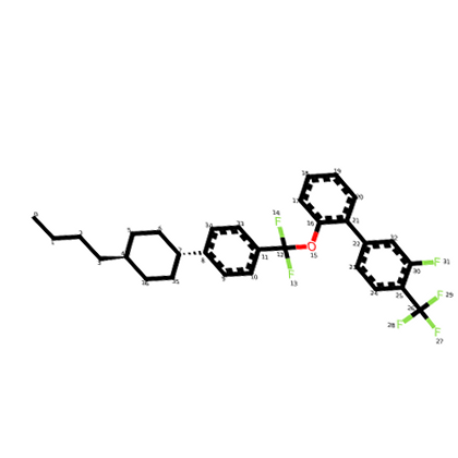 CCCC[C@H]1CC[C@H](c2ccc(C(F)(F)Oc3ccccc3-c3ccc(C(F)(F)F)c(F)c3)cc2)CC1